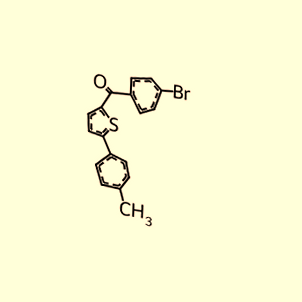 Cc1ccc(-c2ccc(C(=O)c3ccc(Br)cc3)s2)cc1